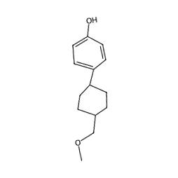 COCC1CCC(c2ccc(O)cc2)CC1